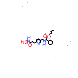 CCCCOC(=O)C(NCc1ccc(CCC(=O)NO)nc1)C1CCCCC1